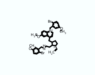 C=C[C@@H]1CCC(Cc2cc[n+](Cc3cc(OC)ccc3Br)c3ccc(OC)cc23)C1CCNCc1cc(OC)ccc1Br